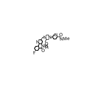 CNC(=O)c1ccc(N2CCN(Cc3cnc4c(c3)[nH]c(=O)c3cc(F)ccc34)C(CO)C2)cn1